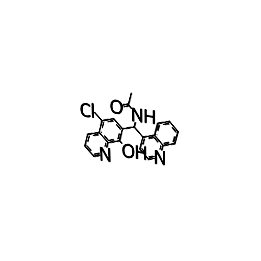 CC(=O)NC(c1cc(Cl)c2cccnc2c1O)c1ccnc2ccccc12